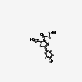 O=C(O)C1CC(c2ccc(F)cc2)=NN1C(=O)CCS